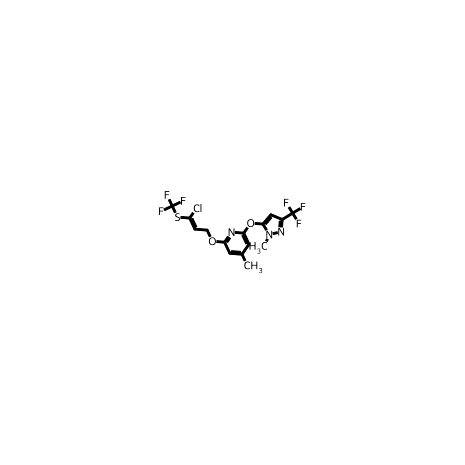 Cc1cc(OCC=C(Cl)SC(F)(F)F)nc(Oc2cc(C(F)(F)F)nn2C)c1